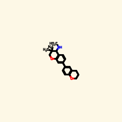 CC1(C)COc2cc(-c3ccc4c(c3)CCCO4)ccc2C1NC(=O)O